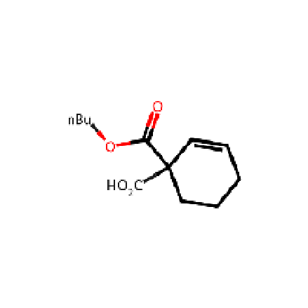 CCCCOC(=O)C1(C(=O)O)C=CCCC1